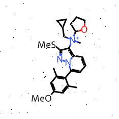 COc1cc(C)c(-c2cccc3c([N+](C)(CC4CC4)C4CCCO4)c(SC)nn23)c(C)c1